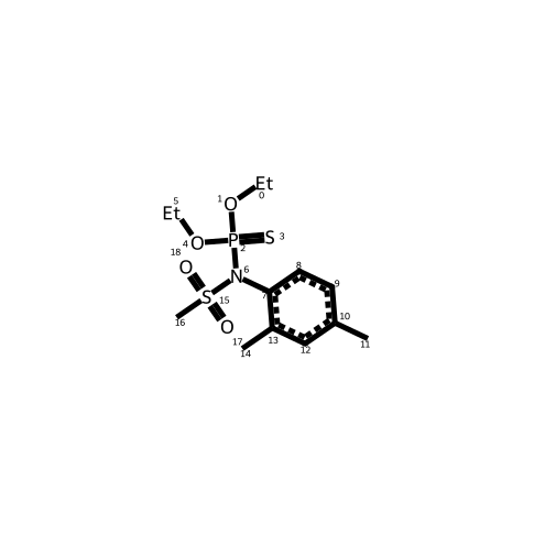 CCOP(=S)(OCC)N(c1ccc(C)cc1C)S(C)(=O)=O